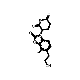 O=C1CCC(n2c(=O)oc3c(F)c(CCO)ccc32)C(=O)N1